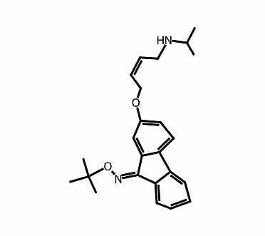 CC(C)NC/C=C\COc1ccc2c(c1)/C(=N\OC(C)(C)C)c1ccccc1-2